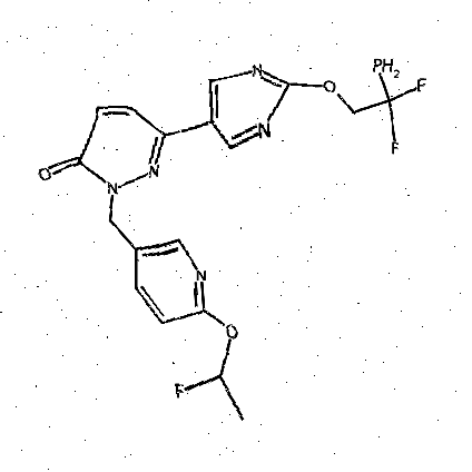 CC(F)Oc1ccc(Cn2nc(-c3cnc(OCC(F)(F)P)nc3)ccc2=O)cn1